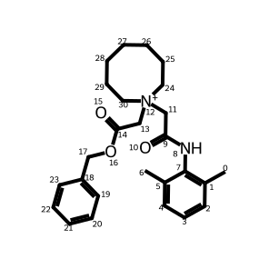 Cc1cccc(C)c1NC(=O)C[N+]1(CC(=O)OCc2ccccc2)CCCCCCC1